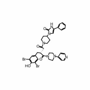 O=C(C[C@@H](Cc1cc(Br)c(O)c(Br)c1)C(=O)N1CCN(c2ccncc2)CC1)N1CCC(n2cc(-c3ccccc3)[nH]c2=O)CC1